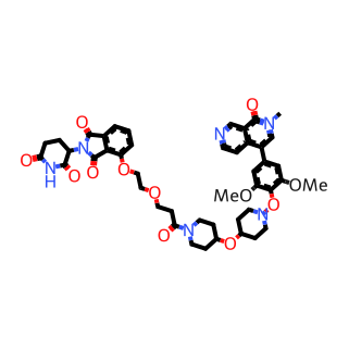 COc1cc(-c2cn(C)c(=O)c3cnccc23)cc(OC)c1ON1CCC(OC2CCN(C(=O)CCOCCOc3cccc4c3C(=O)N(C3CCC(=O)NC3=O)C4=O)CC2)CC1